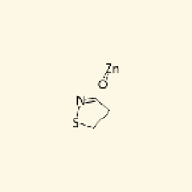 C1=NSCC1.[O]=[Zn]